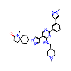 CN1CCC(CNc2nc(-c3cccc(-c4cnn(C)c4)c3)ncc2-c2cnn([C@H]3CC[C@]4(CCC(=O)N4C)CC3)c2)CC1